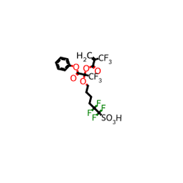 C=C(C(=O)OC(OCCCCC(F)(F)C(F)(F)S(=O)(=O)O)(C(=O)Oc1ccccc1)C(F)(F)F)C(F)(F)F